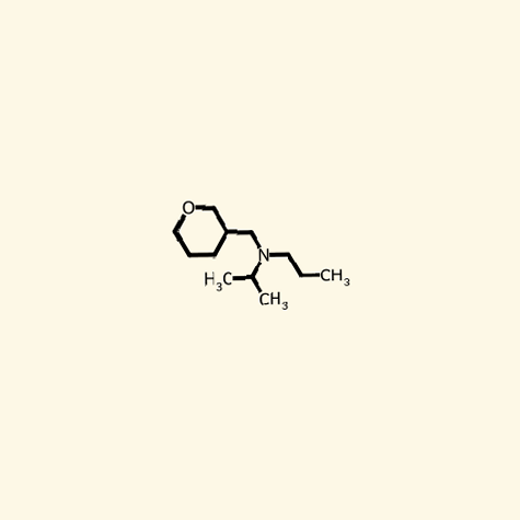 CCCN(CC1CCCOC1)C(C)C